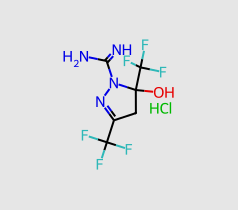 Cl.N=C(N)N1N=C(C(F)(F)F)CC1(O)C(F)(F)F